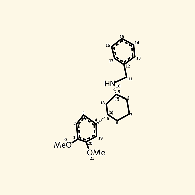 COc1ccc([C@H]2CCC[C@@H](NCc3ccccc3)C2)cc1OC